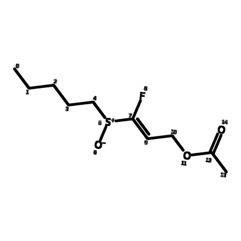 CCCCC[S+]([O-])/C(F)=C/COC(C)=O